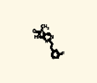 Cn1c(=O)[nH]c2nc(CCc3cccc(F)c3)ncc21